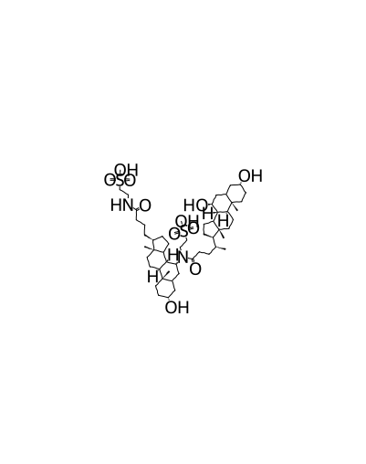 C[C@@H](CCC(=O)N(CCS(=O)(=O)O)[C@H]1CC2C[C@H](O)CC[C@]2(C)[C@H]2CC[C@@]3(C)C(CC[C@@H]3CCCC(=O)NCCS(=O)(=O)O)[C@H]12)[C@H]1CCC2[C@@H]3[C@@H](O)CC4C[C@H](O)CC[C@]4(C)[C@H]3CC[C@@]21C